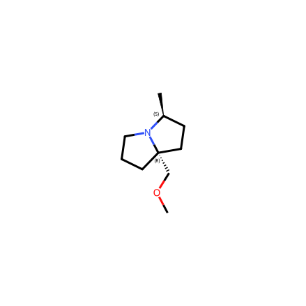 COC[C@]12CCCN1[C@@H](C)CC2